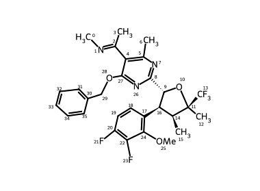 CN=C(C)c1c(C)nc([C@@H]2O[C@@](C)(C(F)(F)F)[C@@H](C)[C@H]2c2ccc(F)c(F)c2OC)nc1OCc1ccccc1